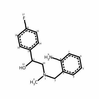 CN(Cc1ccccc1N)CC(O)c1ccc(F)cc1